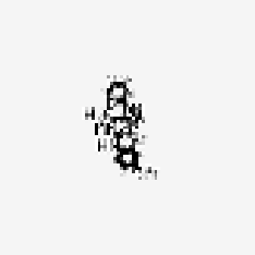 CC(C)c1ccc(NC(=O)NC(C)c2ncnn2-c2ncccn2)c(Br)c1